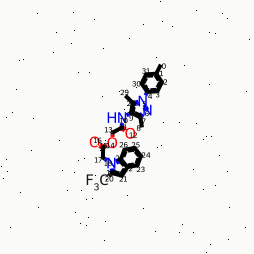 Cc1ccc(-n2nc(C)c(NC(=O)COC(=O)Cn3c(C(F)(F)F)cc4ccccc43)c2C)cc1